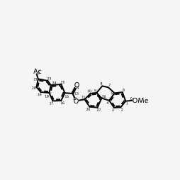 COc1ccc2c(c1)CCc1cc(OC(=O)c3ccc4ccc(C(C)=O)cc4c3)ccc1-2